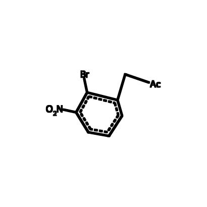 CC(=O)Cc1cccc([N+](=O)[O-])c1Br